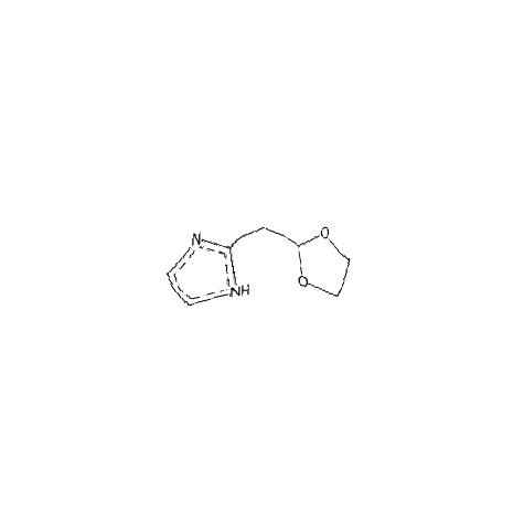 c1c[nH]c(CC2OCCO2)n1